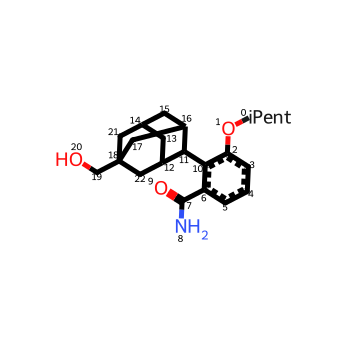 CCCC(C)Oc1cccc(C(N)=O)c1C1C2CC3CC1CC(CO)(C3)C2